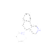 c1ccc2c(c1)cc(N1CCCCC1)c1ccncc12